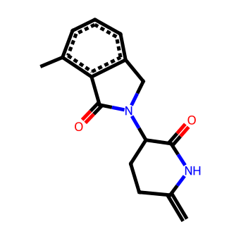 C=C1CCC(N2Cc3cccc(C)c3C2=O)C(=O)N1